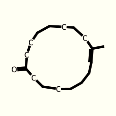 C/C1=C/CCCCCCC(=O)CCCCCCC1